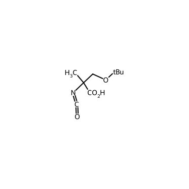 CC(C)(C)OCC(C)(N=C=O)C(=O)O